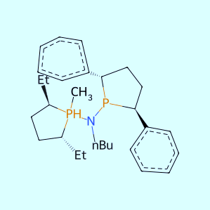 CCCCN(P1[C@H](c2ccccc2)CC[C@H]1c1ccccc1)[PH]1(C)[C@H](CC)CC[C@H]1CC